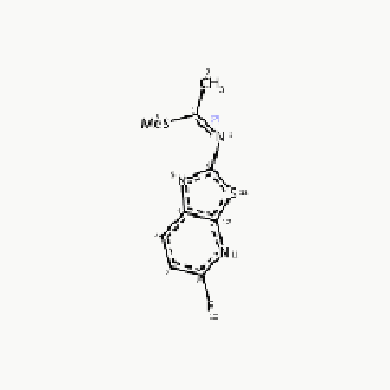 CS/C(C)=N\c1nc2ccc(F)nc2s1